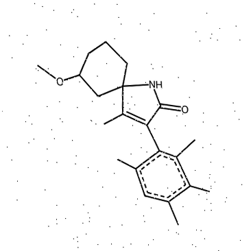 COC1CCCC2(C1)NC(=O)C(c1c(C)cc(C)c(C)c1C)=C2C